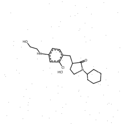 Cl.O=C1C(Cc2ccc(NCCO)cc2Cl)CCN1C1CCCCC1